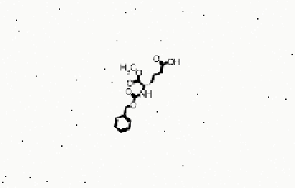 COC(=O)[C@H](CCCC(=O)O)NC(=O)OCc1ccccc1